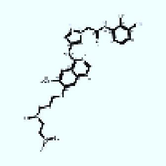 CCN(CC)CCN(CC)CCCOc1cc2ncnc(Nc3cnn(CC(=O)Nc4cccc(F)c4F)c3)c2cc1OC